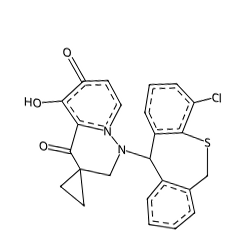 O=C1c2c(O)c(=O)ccn2N(C2c3ccccc3CSc3c(Cl)cccc32)CC12CC2